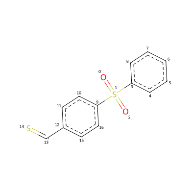 O=S(=O)(c1ccccc1)c1ccc([C]=S)cc1